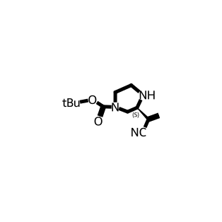 C=C(C#N)[C@H]1CN(C(=O)OC(C)(C)C)CCN1